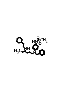 CCC(CCCN(Cc1ccccc1)c1ccc(NS(C)(=O)=O)cc1)NCCC1CCCCC1